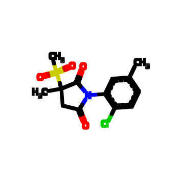 Cc1ccc(Cl)c(N2C(=O)CC(C)(S(C)(=O)=O)C2=O)c1